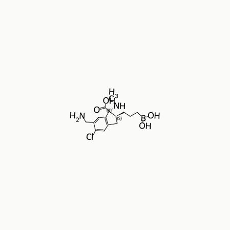 CN[C@@]1(C(=O)O)c2cc(CN)c(Cl)cc2C[C@@H]1CCCB(O)O